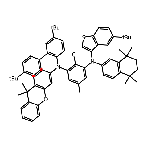 Cc1cc(N(c2ccc3c(c2)Oc2ccccc2C3(C)C)c2ccc(C(C)(C)C)cc2-c2ccc(C(C)(C)C)cc2)c(Cl)c(N(c2ccc3c(c2)C(C)(C)CCC3(C)C)c2csc3ccc(C(C)(C)C)cc23)c1